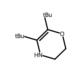 CC(C)(C)C1=C(C(C)(C)C)OCCN1